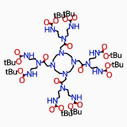 CC(C)(C)OC(=O)NCCN(CCNC(=O)OC(C)(C)C)C(=O)CN1CCN(CC(=O)N(CCNC(=O)OC(C)(C)C)CCNC(=O)OC(C)(C)C)CCN(CC(=O)N(CCNC(=O)OC(C)(C)C)CCNC(=O)OC(C)(C)C)CCN(CC(=O)N(CCNC(=O)OC(C)(C)C)CCNC(=O)OC(C)(C)C)CC1